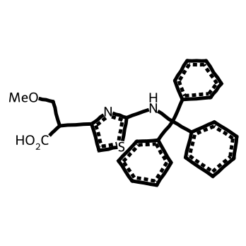 COCC(C(=O)O)c1csc(NC(c2ccccc2)(c2ccccc2)c2ccccc2)n1